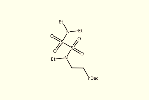 CCCCCCCCCCCCN(CC)S(=O)(=O)S(=O)(=O)N(CC)CC